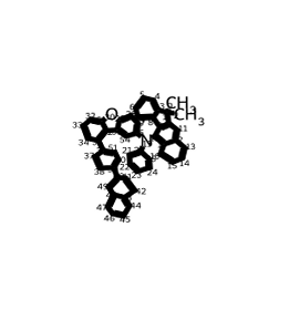 CC1(C)c2ccccc2-c2c1cc1ccccc1c2N(c1ccccc1)c1ccc2oc3cccc(-c4ccc(-c5ccc6ccccc6c5)cc4)c3c2c1